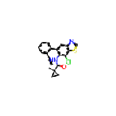 C#Cc1ccccc1-c1cc2ncsc2c(Cl)c1NC(=O)C1(C)CC1